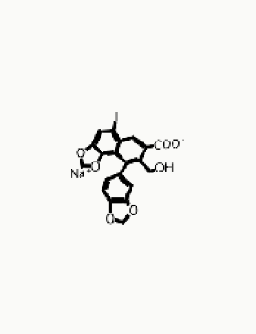 O=C([O-])c1cc2c(I)cc3c(c2c(-c2ccc4c(c2)OCO4)c1CO)OCO3.[Na+]